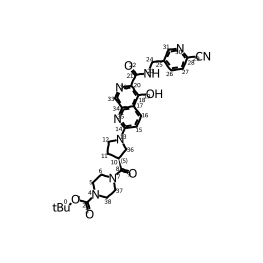 CC(C)(C)OC(=O)N1CCN(C(=O)[C@H]2CCN(c3ccc4c(O)c(C(=O)NCc5ccc(C#N)nc5)ncc4n3)C2)CC1